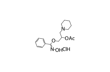 CC(=O)OC(COC(=NO)c1ccccc1)CN1CCCCC1.Cl